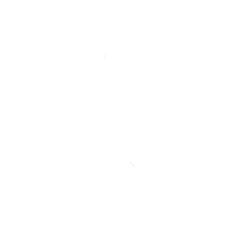 CC(C)COc1ccc(-c2ccc3c(c2)c2cc(Br)ccc2n3CC(C)C)cc1